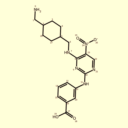 NCC1CCC(CNc2nc(Nc3cccc(C(=O)O)c3)ncc2[N+](=O)[O-])CC1